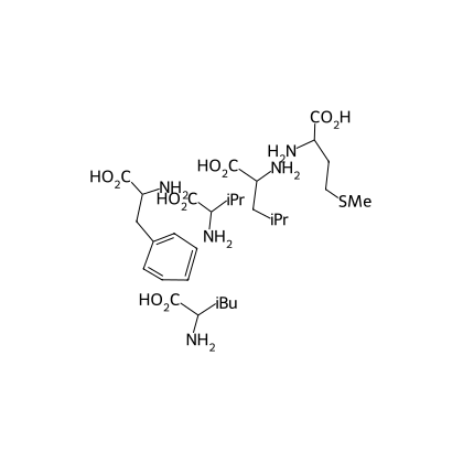 CC(C)C(N)C(=O)O.CC(C)CC(N)C(=O)O.CCC(C)C(N)C(=O)O.CSCCC(N)C(=O)O.NC(Cc1ccccc1)C(=O)O